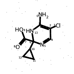 NC1=C(Cl)C=NC(C(=O)O)(C2CC2)N1